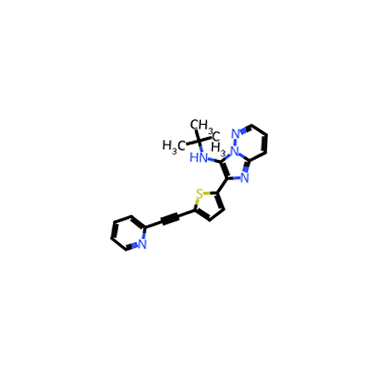 CC(C)(C)Nc1c(-c2ccc(C#Cc3ccccn3)s2)nc2cccnn12